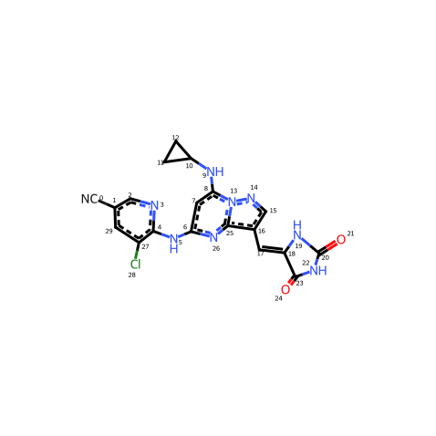 N#Cc1cnc(Nc2cc(NC3CC3)n3ncc(/C=C4\NC(=O)NC4=O)c3n2)c(Cl)c1